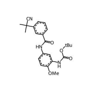 COc1ccc(NC(=O)c2cccc(C(C)(C)C#N)c2)cc1NC(=O)OC(C)(C)C